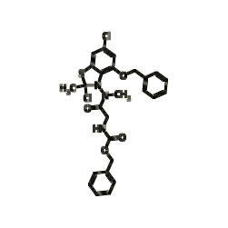 CN(C(=O)CNC(=O)OCc1ccccc1)N1c2c(OCc3ccccc3)cc(Cl)cc2SC1(C)Cl